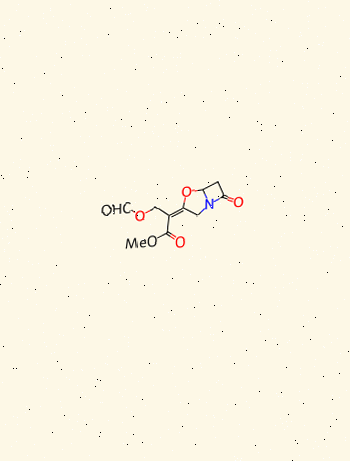 COC(=O)C(COC=O)=C1CN2C(=O)CC2O1